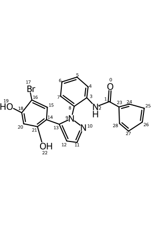 O=C(Nc1ccccc1-n1nccc1-c1cc(Br)c(O)cc1O)c1ccccc1